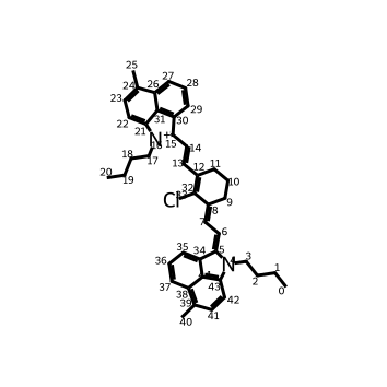 CCCCn1/c(=C/C=C2\CCCC(/C=C/C3=[N+](CCCC)c4ccc(C)c5cccc3c45)=C2Cl)c2cccc3c(C)ccc1c32